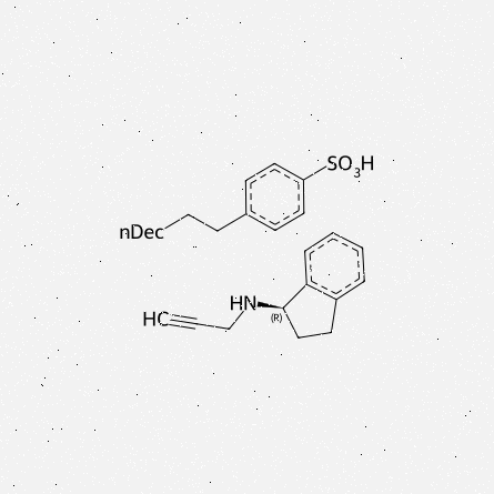 C#CCN[C@@H]1CCc2ccccc21.CCCCCCCCCCCCc1ccc(S(=O)(=O)O)cc1